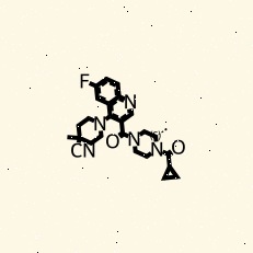 C[C@H]1CN(C(=O)c2cnc3ccc(F)cc3c2N2CCC(C)(C#N)CC2)CCN1C(=O)C1CC1